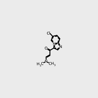 CN(C)C=CC(=O)c1cnc2ccc(Cl)cn12